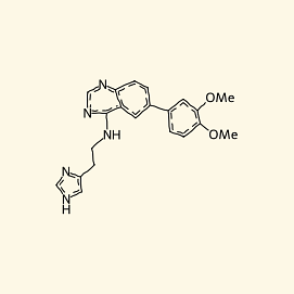 COc1ccc(-c2ccc3ncnc(NCCc4c[nH]cn4)c3c2)cc1OC